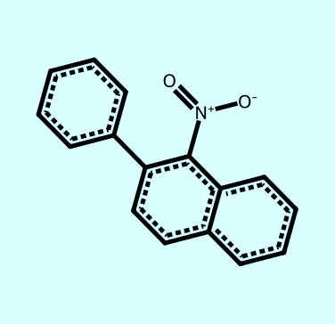 O=[N+]([O-])c1c(-c2ccccc2)ccc2ccccc12